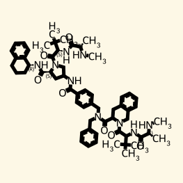 CN[C@@H](C)C(=O)NC(C(=O)N1Cc2ccccc2CC1C(=O)N(Cc1ccccc1)Cc1ccc(C(=O)NC2C[C@@H](C(=O)N[C@@H]3CCCc4ccccc43)N(C(=O)[C@@H](NC(=O)[C@H](C)NC)C(C)(C)C)C2)cc1)C(C)(C)C